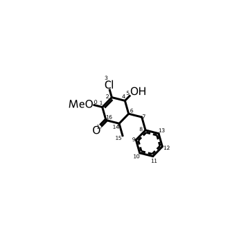 COC1=C(Cl)C(O)C(Cc2ccccc2)C(C)C1=O